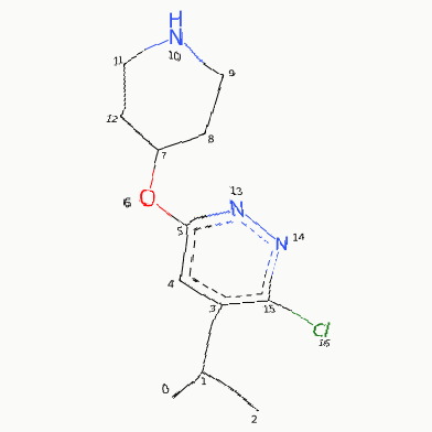 CC(C)c1cc(OC2CCNCC2)nnc1Cl